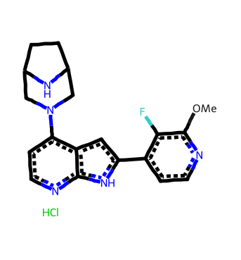 COc1nccc(-c2cc3c(N4CC5CCC(C4)N5)ccnc3[nH]2)c1F.Cl